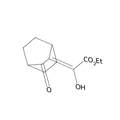 CCOC(=O)C(O)=C1C(=O)C2CCC1CC2